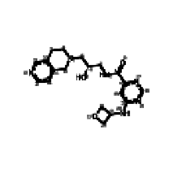 O=C(NC[C@H](O)CN1CCc2cnccc2C1)c1cc(NC2COC2)ncn1